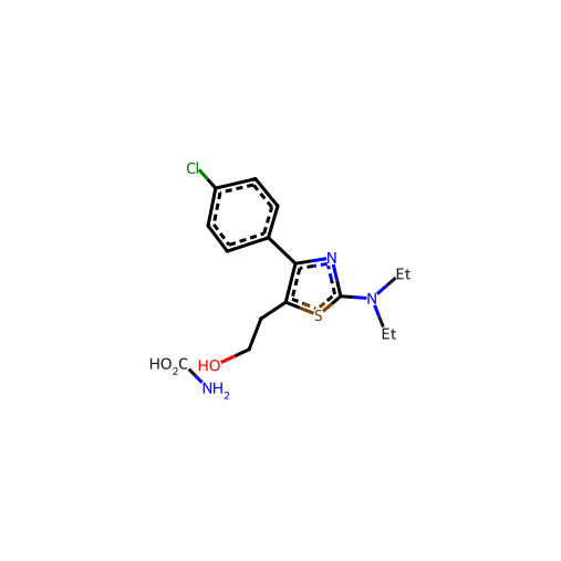 CCN(CC)c1nc(-c2ccc(Cl)cc2)c(CCO)s1.NC(=O)O